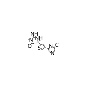 CN1C(=N)NC(C)(c2cc(-c3cncc(Cl)n3)cs2)CC1=O